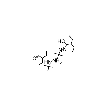 CC(C)(C)NN.CCC(C=O)CC.CCC(CC)C(O)N=NC(C)(C)C